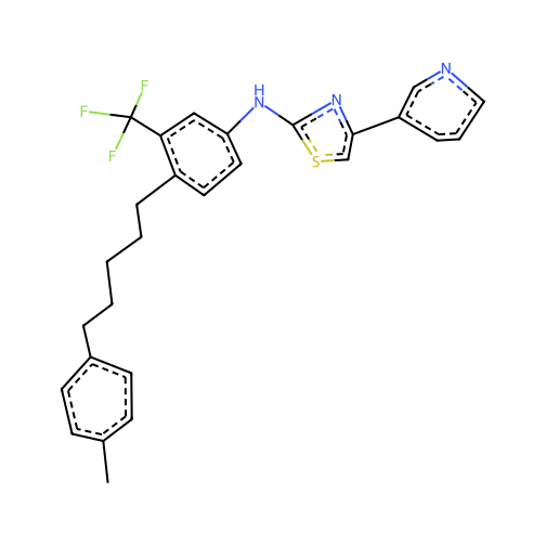 Cc1ccc(CCCCCc2ccc(Nc3nc(-c4cccnc4)cs3)cc2C(F)(F)F)cc1